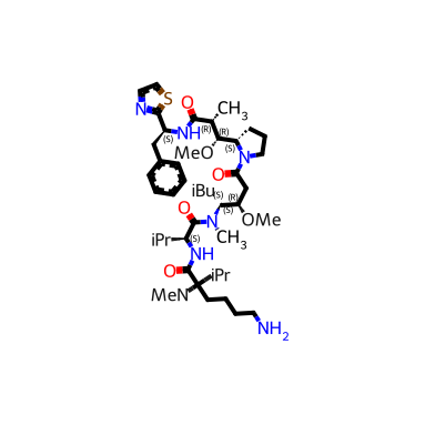 CC[C@H](C)[C@@H]([C@@H](CC(=O)N1CCC[C@H]1[C@H](OC)[C@@H](C)C(=O)N[C@@H](Cc1ccccc1)c1nccs1)OC)N(C)C(=O)[C@@H](NC(=O)C(CCCCN)(NC)C(C)C)C(C)C